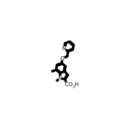 Cc1cc(OCc2ccccn2)cc2cc(C(=O)O)n(C)c12